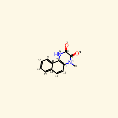 Cn1c(=O)c(=O)[nH]c2c3ccccc3ccc21